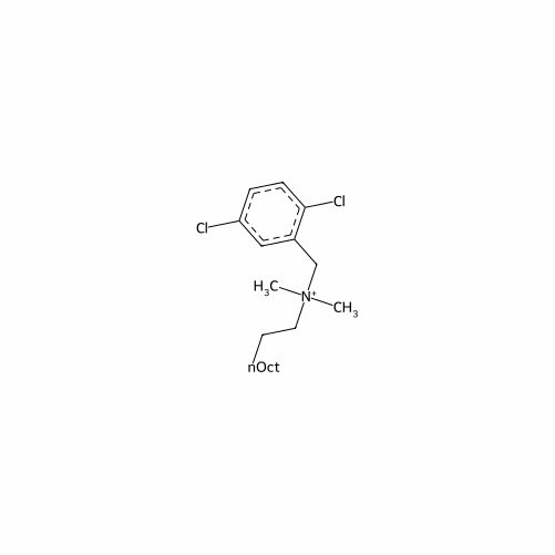 CCCCCCCCCC[N+](C)(C)Cc1cc(Cl)ccc1Cl